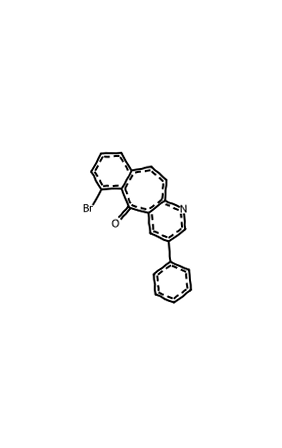 O=c1c2cc(-c3ccccc3)cnc2ccc2cccc(Br)c12